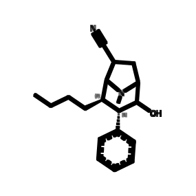 CCCC[C@H]1C2C(C#N)CC(C(O)[C@@H]1c1ccccc1)N2C